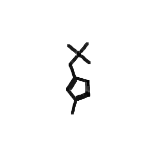 CC1=C=CC(CS(C)(C)C)=C1